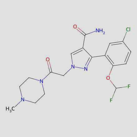 CN1CCN(C(=O)Cn2cc(C(N)=O)c(-c3cc(Cl)ccc3OC(F)F)n2)CC1